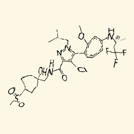 COc1cc(N[C@H](C)C(F)(F)F)ccc1-c1c(Cl)c(C(=O)NCC2(O)CCC(S(C)(=O)=O)CC2)nn1CC(C)C